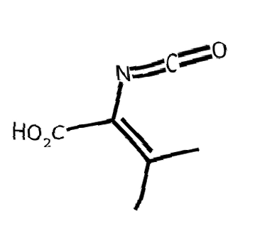 CC(C)=C(N=C=O)C(=O)O